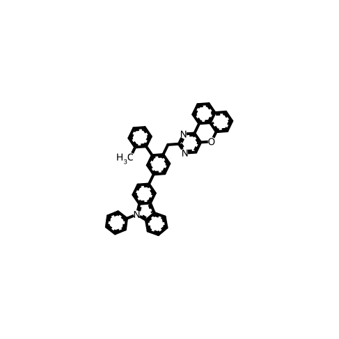 Cc1ccccc1-c1cc(-c2ccc3c(c2)c2ccccc2n3-c2ccccc2)ccc1Cc1ncc2c(n1)-c1cccc3cccc(c13)O2